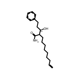 C=CCCCCCCCC(C(N)=O)[C@H](O)CCc1ccccc1